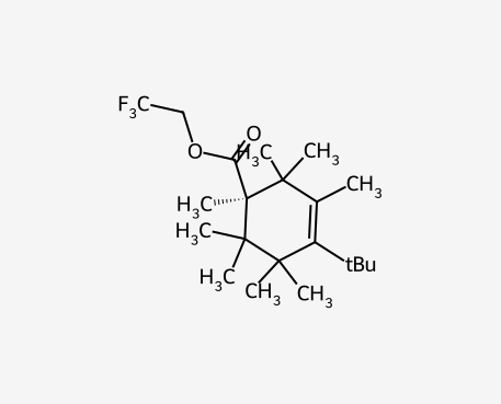 CC1=C(C(C)(C)C)C(C)(C)C(C)(C)[C@@](C)(C(=O)OCC(F)(F)F)C1(C)C